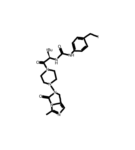 Cc1ncc2n1C(=O)N(N1CCN(C(=O)[C@H](NC(=O)Nc3ccc(CI)cc3)C(C)(C)C)CC1)C2